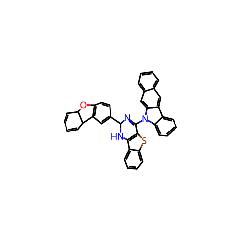 C1=CC2Oc3ccc(C4N=C(n5c6ccccc6c6cc7ccccc7cc65)c5sc6ccccc6c5N4)cc3C2C=C1